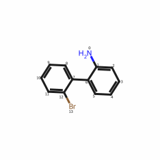 Nc1ccccc1-c1ccccc1Br